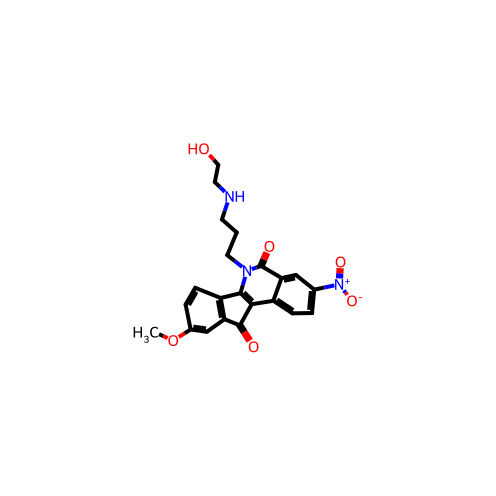 COc1ccc2c(c1)C(=O)c1c-2n(CCCNCCO)c(=O)c2cc([N+](=O)[O-])ccc12